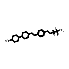 CCCC1CCC(C2CCC(CCc3ccc(CCC(F)(F)C(F)(F)C(F)(F)F)cc3)CC2)CC1